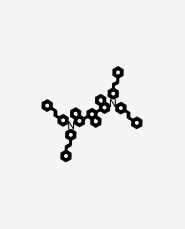 C(=Cc1ccc(N(c2ccc(C=Cc3ccccc3)cc2)c2ccc(-c3ccc(-c4ccc(N(c5ccc(C=Cc6ccccc6)cc5)c5ccc(C=Cc6ccccc6)cc5)c5ccccc45)c4ccccc34)c3ccccc23)cc1)c1ccccc1